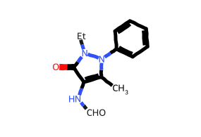 CCn1c(=O)c(NC=O)c(C)n1-c1ccccc1